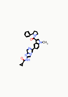 Cn1cc(C(=O)N2CCCC2c2ccccc2)c2cc(-c3cn4cc(NC(=O)C5CC5)nc4cn3)ccc21